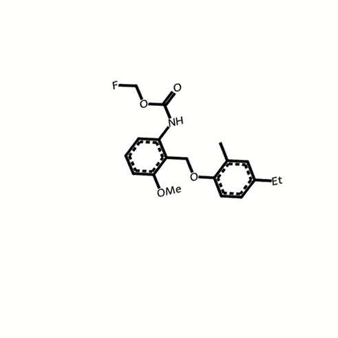 CCc1ccc(OCc2c(NC(=O)OCF)cccc2OC)c(C)c1